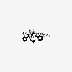 COc1ccnc(C(=O)N[C@@H](C)C(=O)OC(C)[C@H](OCC2CC2)C2CCCC2)c1O